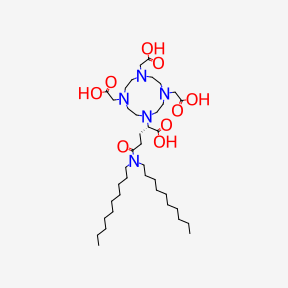 CCCCCCCCCCN(CCCCCCCCCC)C(=O)CC[C@@H](C(=O)O)N1CCN(CC(=O)O)CCN(CC(=O)O)CCN(CC(=O)O)CC1